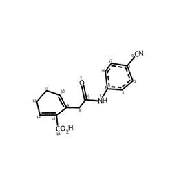 N#Cc1ccc(NC(=O)CC2=CCCC=C2C(=O)O)cc1